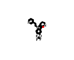 FC(F)(F)Oc1ccc2c(c1)c1c(n2C=Cc2cccnc2)C2CCN(CC2)C1